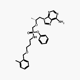 Cc1ccccc1COCCCNP(=O)(CO[C@H](C)Cn1cnc2c(N)ncnc21)Oc1ccccc1